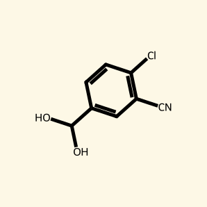 N#Cc1cc(C(O)O)ccc1Cl